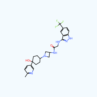 Cc1ccc(C2(O)CCC(N3CC(NC(=O)CNc4n[nH]c5ccc(C(F)(F)F)cc45)C3)CC2)cn1